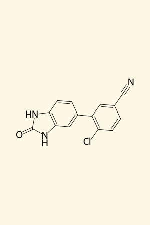 N#Cc1ccc(Cl)c(-c2ccc3[nH]c(=O)[nH]c3c2)c1